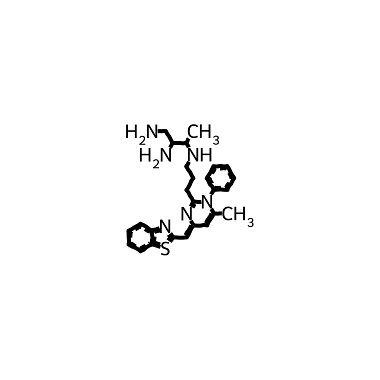 CC1=C/C(=C/c2nc3ccccc3s2)N=C(CCCNC(C)C(N)CN)N1c1ccccc1